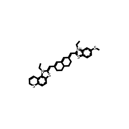 CCN1/C(=C/C2=CC3=C/C(=C/c4sc5ccc(SC)cc5[n+]4CC)CCC3CC2)Sc2ccc3c(c21)C=CCS3